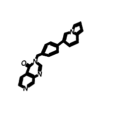 O=c1c2ccncc2ncn1Cc1ccc(-c2ccc3cccn3c2)cc1